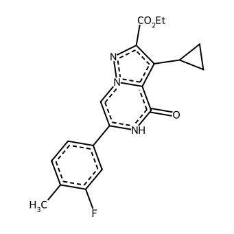 CCOC(=O)c1nn2cc(-c3ccc(C)c(F)c3)[nH]c(=O)c2c1C1CC1